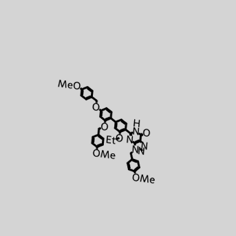 CCOc1cc(-c2ccc(OCc3ccc(OC)cc3)cc2OCc2ccc(OC)cc2)ccc1-c1nc2c(nnn2Cc2ccc(OC)cc2)c(=O)[nH]1